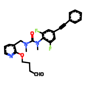 CN(Cc1cccnc1OCCCC=O)C(=O)N(C)c1c(F)cc(C#Cc2ccccc2)cc1F